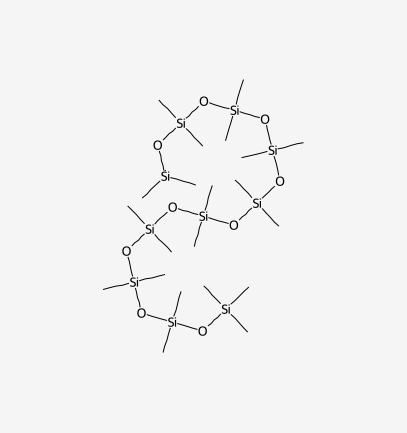 C[Si](C)O[Si](C)(C)O[Si](C)(C)O[Si](C)(C)O[Si](C)(C)O[Si](C)(C)O[Si](C)(C)O[Si](C)(C)O[Si](C)(C)O[Si](C)(C)C